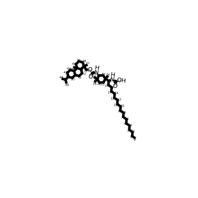 CCCCCCCCCCCCCCCCCCC(NC(=O)O)C1(C)CCC(C)(C)C(NC(=O)OCC2(C)CCCC3(C)C4CCC(C(C)C)CC4CCC23)C1